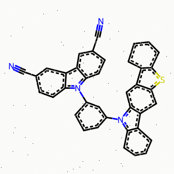 N#Cc1ccc2c(c1)c1cc(C#N)ccc1n2-c1cccc(-n2c3ccccc3c3cc4sc5ccccc5c4cc32)c1